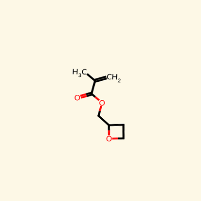 C=C(C)C(=O)OCC1CCO1